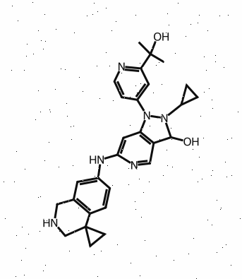 CC(C)(O)c1cc(N2c3cc(Nc4ccc5c(c4)CNCC54CC4)ncc3C(O)N2C2CC2)ccn1